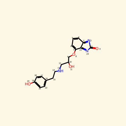 O=C1N=c2cccc(OCC(O)CNCCc3ccc(O)cc3)c2=N1